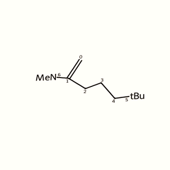 C=C(CCCC(C)(C)C)NC